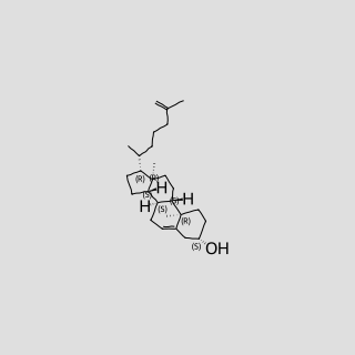 C=C(C)CCCC(C)[C@H]1CC[C@H]2[C@@H]3CC=C4C[C@@H](O)CC[C@]4(C)[C@H]3CC[C@]12C